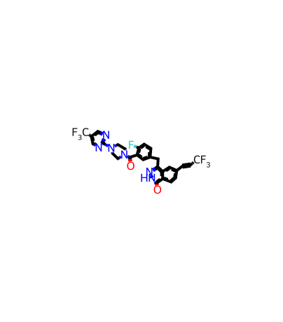 O=C(c1cc(Cc2n[nH]c(=O)c3ccc(C#CC(F)(F)F)cc23)ccc1F)N1CCN(c2ncc(C(F)(F)F)cn2)CC1